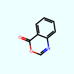 O=c1o[c]nc2ccccc12